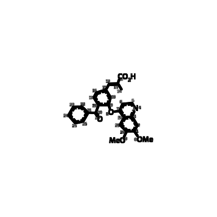 COc1cc2nccc(Oc3cc(C=C(C)C(=O)O)ccc3C(=O)c3ccccc3)c2cc1OC